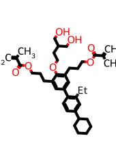 C=C(C)C(=O)OCCCc1cc(-c2ccc(C3CCCCC3)cc2CC)cc(CCCOC(=O)C(=C)C)c1OCCC(CO)CO